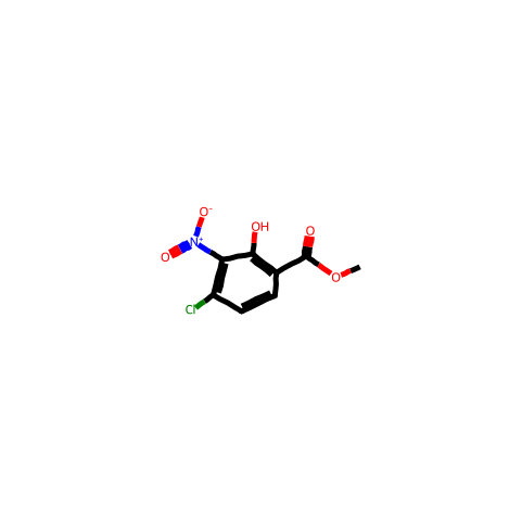 COC(=O)c1ccc(Cl)c([N+](=O)[O-])c1O